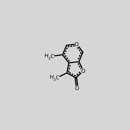 Cc1cocc2oc(=O)c(C)c1-2